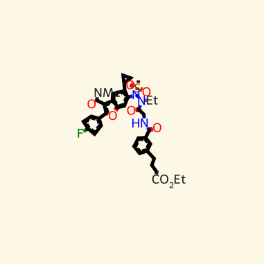 CCOC(=O)CCCc1cccc(C(=O)NCC(=O)N(CC)N(c2cc3oc(-c4ccc(F)cc4)c(C(=O)NC)c3cc2C2CC2)S(C)(=O)=O)c1